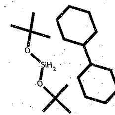 C1CCC(C2CCCCC2)CC1.CC(C)(C)O[SiH2]OC(C)(C)C